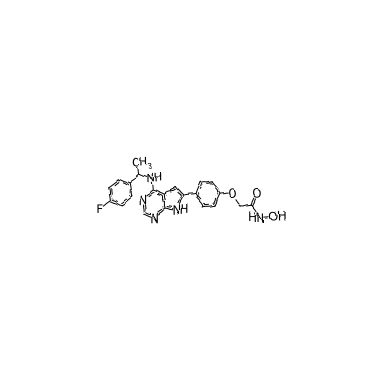 CC(Nc1ncnc2[nH]c(-c3ccc(OCC(=O)NO)cc3)cc12)c1ccc(F)cc1